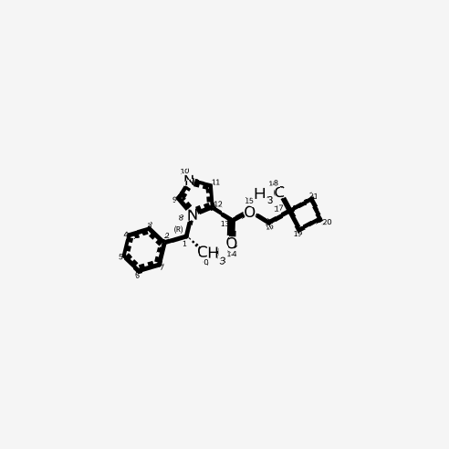 C[C@H](c1ccccc1)n1cncc1C(=O)OCC1(C)CCC1